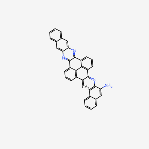 C=C1/C(=N\c2cc3ccccc3cc2N)c2cccc3c4nc5cc6ccccc6cc5nc4c4cccc1c4c23